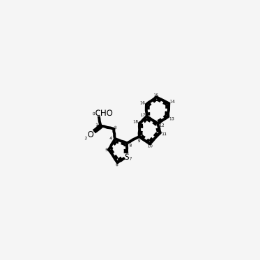 O=CC(=O)Cc1ccsc1-c1ccc2ccccc2c1